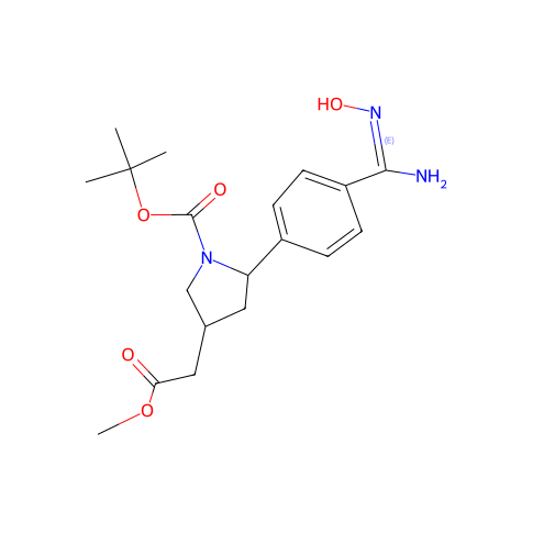 COC(=O)CC1CC(c2ccc(/C(N)=N\O)cc2)N(C(=O)OC(C)(C)C)C1